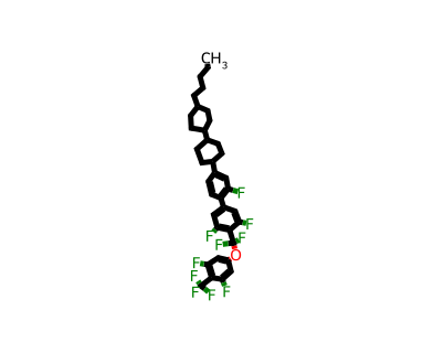 CCCCCC1CCC(C2CCC(c3ccc(-c4cc(F)c(C(F)(F)Oc5cc(F)c(C(F)(F)F)c(F)c5)c(F)c4)c(F)c3)CC2)CC1